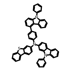 c1ccc(-n2c3ccccc3c3ccc(N(c4ccc(-c5cccc6c5c5ccccc5n6-c5ccccc5)cc4)c4ccc5c(c4)sc4ccccc45)cc32)cc1